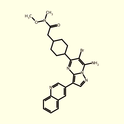 CON(C)C(=O)CC1CCC(c2nc3c(-c4cnc5ccccc5c4)cnn3c(N)c2Br)CC1